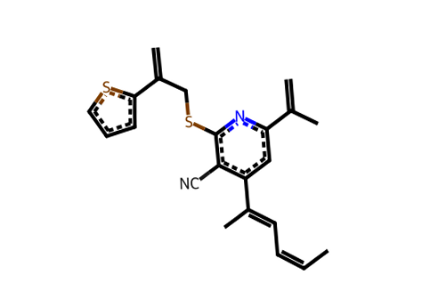 C=C(C)c1cc(/C(C)=C/C=C\C)c(C#N)c(SCC(=C)c2cccs2)n1